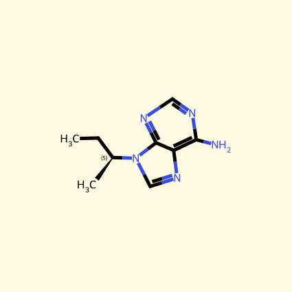 CC[C@H](C)n1cnc2c(N)ncnc21